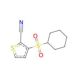 N#Cc1sccc1S(=O)(=O)C1CCCCC1